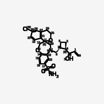 C=C[C@@H](O)[C@@H]1CC[C@H]1CN1C[C@]2(COc3ccc(S(N)(=O)=O)cc31)OCCc1cc(Cl)ccc12